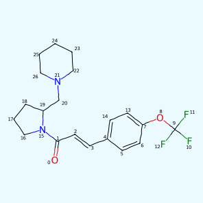 O=C(C=Cc1ccc(OC(F)(F)F)cc1)N1CCCC1CN1CCCCC1